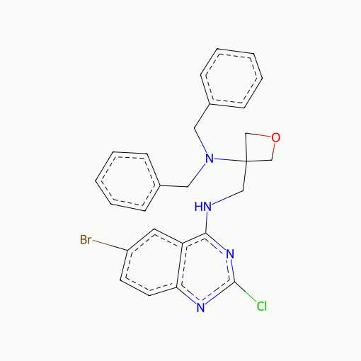 Clc1nc(NCC2(N(Cc3ccccc3)Cc3ccccc3)COC2)c2cc(Br)ccc2n1